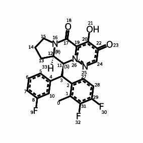 Cc1c(C(c2cccc(F)c2)[C@H]2[C@H]3CCCN3C(=O)c3c(O)c(=O)cnn32)ccc(F)c1F